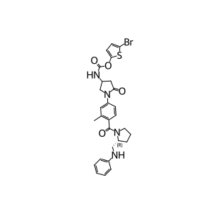 Cc1cc(N2CC(NC(=O)Oc3ccc(Br)s3)CC2=O)ccc1C(=O)N1CCC[C@@H]1CNc1ccccc1